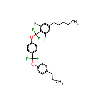 CCCCCc1cc(F)c(C(F)(F)Oc2ccc(C(F)(F)Oc3ccc(CCC)cc3)cc2)c(F)c1